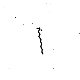 CCCCCCCCCCC(C)(C)I